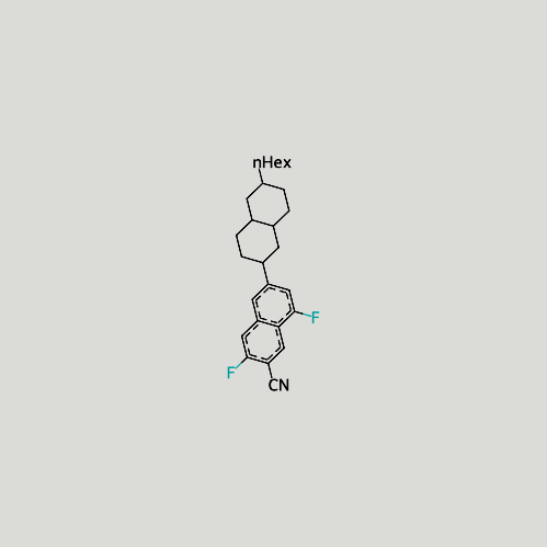 CCCCCCC1CCC2CC(c3cc(F)c4cc(C#N)c(F)cc4c3)CCC2C1